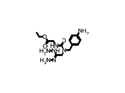 CCOC(=O)CNC(=O)N(C/C(=N/N)NN)Cc1ccc(N)cc1